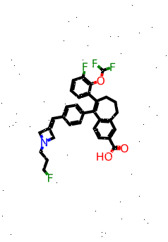 O=C(O)c1ccc2c(c1)CCCC(c1cccc(F)c1OC(F)F)=C2c1ccc(C=C2CN(CCCF)C2)cc1